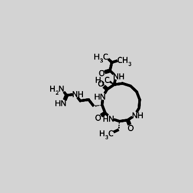 CC[C@@H]1NC(=O)[C@H](CCCNC(=N)N)NC(=O)[C@](C)(NC(=O)C(C)C)CCCCCNC1=O